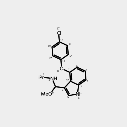 COC(NC(C)C)c1c[nH]c2cccc(Oc3ccc(Cl)cc3)c12